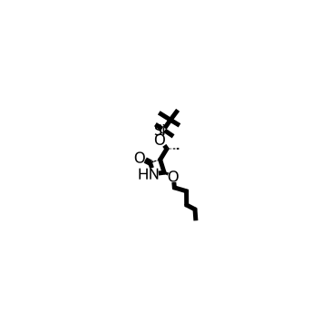 CCCCCO[C@H]1NC(=O)[C@@H]1[C@@H](C)O[Si](C)(C)C(C)(C)C